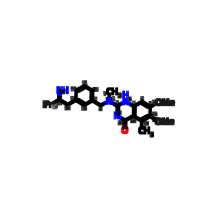 COc1cc2[nH]c(N(C)Cc3cccc(CC(=N)C(C)C)c3)nc(=O)c2c(C)c1OC